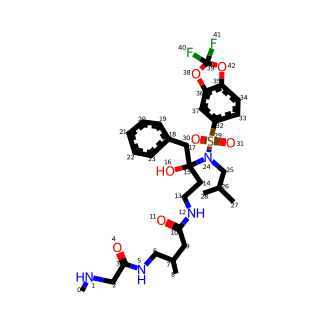 CNCC(=O)NCC(C)CC(=O)NCCC(O)(Cc1ccccc1)N(CC(C)C)S(=O)(=O)c1ccc2c(c1)OC(F)(F)O2